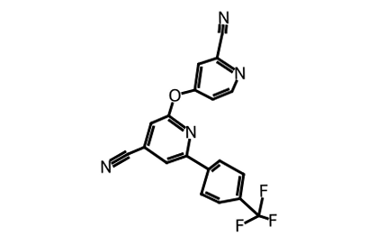 N#Cc1cc(Oc2ccnc(C#N)c2)nc(-c2ccc(C(F)(F)F)cc2)c1